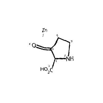 O=C(O)C1NCCC1=O.[Zn]